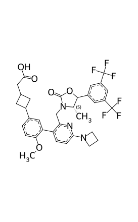 COc1ccc(C2CC(CC(=O)O)C2)cc1-c1ccc(N2CCC2)nc1CN1C(=O)OC(c2cc(C(F)(F)F)cc(C(F)(F)F)c2)[C@@H]1C